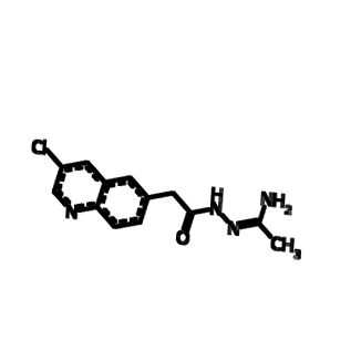 C/C(N)=N/NC(=O)Cc1ccc2ncc(Cl)cc2c1